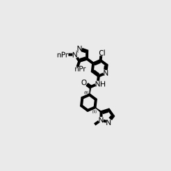 CCCc1c(-c2cc(NC(=O)[C@@H]3CCC[C@H](c4ccnn4C)C3)ncc2Cl)cnn1CCC